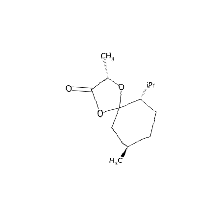 CC(C)[C@@H]1CC[C@@H](C)CC12OC(=O)[C@H](C)O2